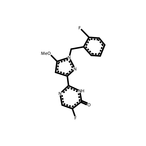 COc1cc(-c2ncc(F)c(=O)[nH]2)nn1Cc1ccccc1F